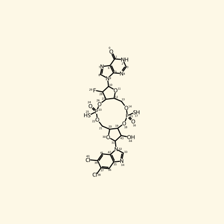 O=c1[nH]cnc2c1ncn2C1OC2COP(=O)(S)OC3C(COP(=O)(S)OC2C1F)OC(n1cnc2cc(Cl)c(Cl)cc21)C3O